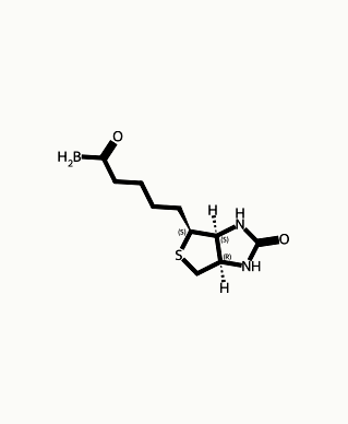 BC(=O)CCCC[C@@H]1SC[C@@H]2NC(=O)N[C@@H]21